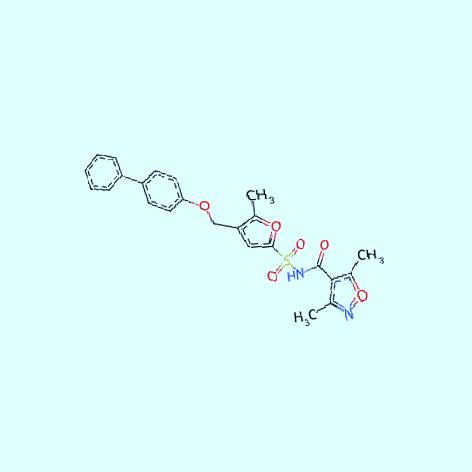 Cc1noc(C)c1C(=O)NS(=O)(=O)c1cc(COc2ccc(-c3ccccc3)cc2)c(C)o1